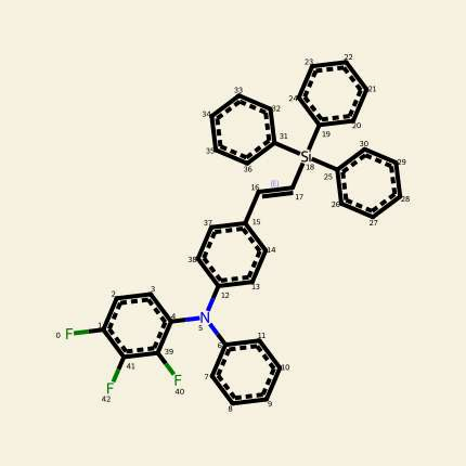 Fc1ccc(N(c2ccccc2)c2ccc(/C=C/[Si](c3ccccc3)(c3ccccc3)c3ccccc3)cc2)c(F)c1F